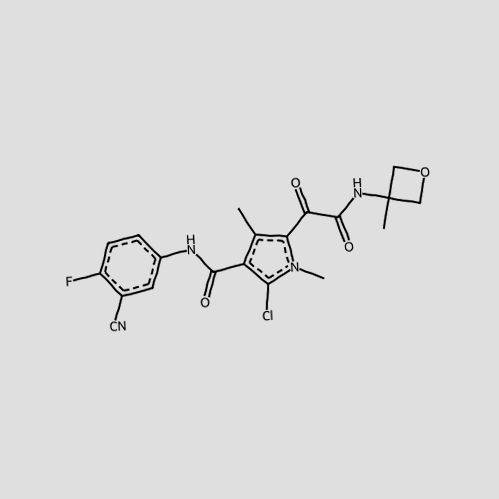 Cc1c(C(=O)Nc2ccc(F)c(C#N)c2)c(Cl)n(C)c1C(=O)C(=O)NC1(C)COC1